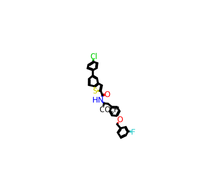 O=C(NC(Cc1ccc(OCc2cccc(F)c2)cc1)C(=O)O)c1cc2cc(-c3ccc(Cl)cc3)ccc2s1